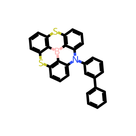 c1ccc(-c2cccc(N3c4cccc5c4B4c6c(cccc6Sc6cccc3c64)S5)c2)cc1